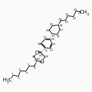 CCCCCCC[C@H]1CO[C@H](c2ccc([C@H]3CC[C@H](CCCCCC)CC3)cc2)CO1